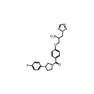 NC(COc1ccc(C(=O)N2CC[C@@H](c3ccc(F)cc3)C2)cc1)Cn1ncnn1